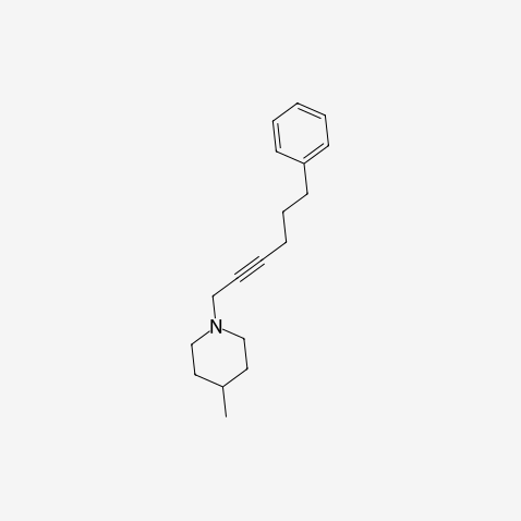 CC1CCN(CC#CCCCc2ccccc2)CC1